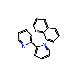 c1ccc(-c2ccccn2)nc1.c1ccc2ccccc2c1